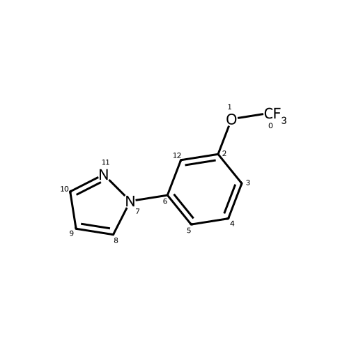 FC(F)(F)Oc1cccc(-n2cccn2)c1